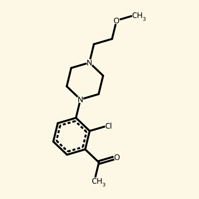 COCCN1CCN(c2cccc(C(C)=O)c2Cl)CC1